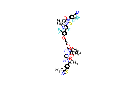 Cc1ncsc1-c1ccc([C@H](C)NC(=O)[C@@H]2CCCN2C(=O)C(NC(=O)COCCCCOc2ccc(-c3ncc(N4C(=S)N(c5ccc(C#N)c(C(F)(F)F)c5F)C(=O)C4(C)C)cc3F)c(C(F)(F)F)c2)C(C)(C)C)cc1